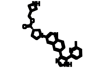 Cc1cccc(-c2[nH]cnc2-c2ccc3ncc(N4CC[C@H](C(=O)OCC5CNC5)C4)cc3c2)n1